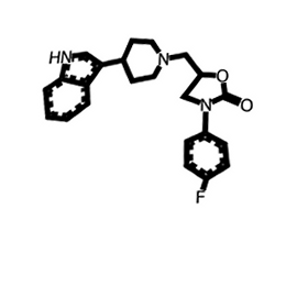 O=C1OC(CN2CCC(c3c[nH]c4ccccc34)CC2)CN1c1ccc(F)cc1